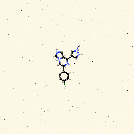 Cn1cc(-c2nc(-c3ccc(Cl)cc3)cn3cncc23)cn1